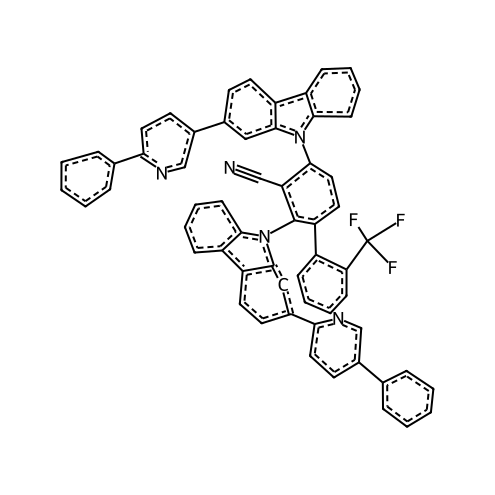 N#Cc1c(-n2c3ccccc3c3ccc(-c4ccc(-c5ccccc5)nc4)cc32)ccc(-c2ccccc2C(F)(F)F)c1-n1c2ccccc2c2ccc(-c3ccc(-c4ccccc4)cn3)cc21